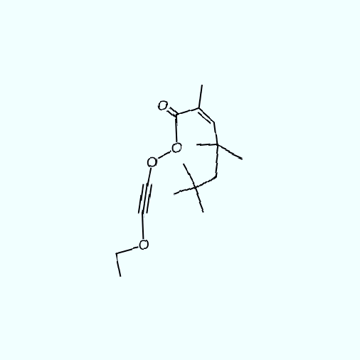 CCOC#COOC(=O)/C(C)=C\C(C)(C)CC(C)(C)C